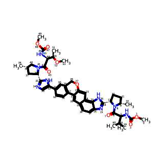 COC(=O)NC(C(=O)N1[C@@H](C)CC[C@H]1c1nc2ccc3cc4c(cc3c2[nH]1)OCc1cc(-c2cnc([C@@H]3C[C@H](C)CN3C(=O)[C@@H](NC(=O)OC)[C@@H](C)OC)[nH]2)ccc1-4)C(C)C